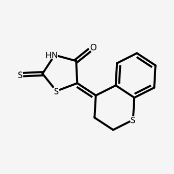 O=C1NC(=S)SC1=C1CCSc2ccccc21